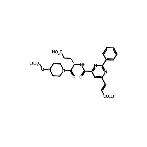 CCOC(=O)/C=C/c1cc(C(=O)N[C@@H](CCC(=O)O)C(=O)N2CCN(OC(=O)OCC)CC2)nc(-c2ccccc2)n1